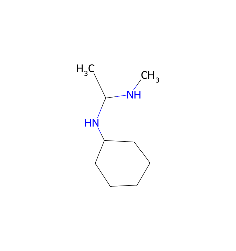 CNC(C)NC1CCCCC1